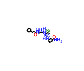 NC(=O)c1cccc(Nc2ncc(Br)c(NCCCN(N)C(=O)CCc3ccccc3)n2)c1